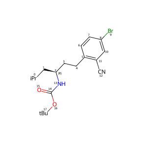 CC(C)C[C@@H](CCc1ccc(Br)cc1C#N)NC(=O)OC(C)(C)C